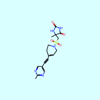 Cc1ncc(C#CC2=CCN(S(=O)(=O)CC3(C)NC(=O)NC3=O)CC2)cn1